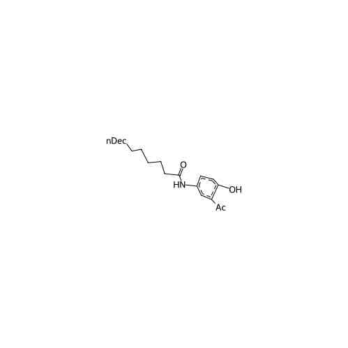 CCCCCCCCCCCCCCCC(=O)Nc1ccc(O)c(C(C)=O)c1